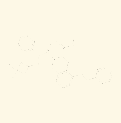 COC(=O)[C@@H]1Cc2c(cccc2OCc2ccccc2)CN1C(=O)C(OC1CC(F)(F)C1)c1ccccc1